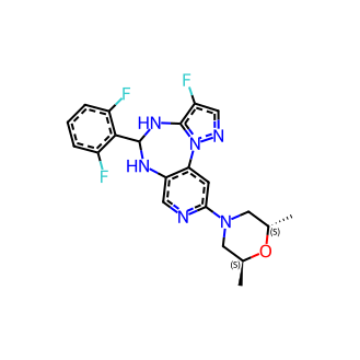 C[C@H]1CN(c2cc3c(cn2)NC(c2c(F)cccc2F)Nc2c(F)cnn2-3)C[C@H](C)O1